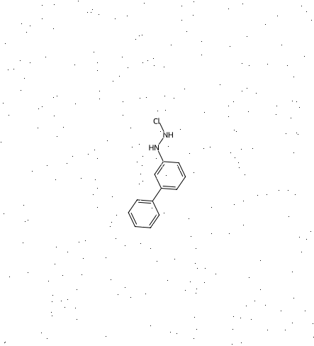 ClNNc1cccc(-c2ccccc2)c1